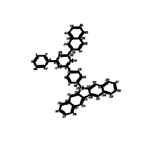 c1ccc(-c2nc(-c3ccc(-n4c5cc6ccccc6cc5c5cc6ccccc6cc54)cc3)nc(-c3ccc4ccccc4c3)n2)cc1